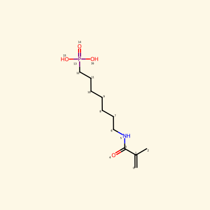 C=C(C)C(=O)NCCCCCCCP(=O)(O)O